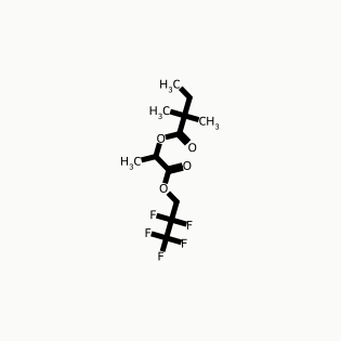 CCC(C)(C)C(=O)OC(C)C(=O)OCC(F)(F)C(F)(F)F